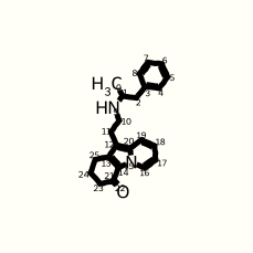 CC(Cc1ccccc1)NCCc1c2c(n3ccccc13)C(=O)CCC2